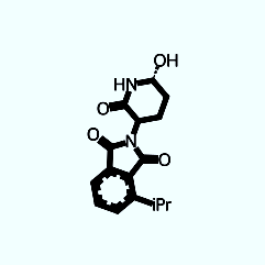 CC(C)c1cccc2c1C(=O)N(C1CC[C@@H](O)NC1=O)C2=O